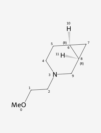 COCCN1CC[C@H]2C[C@H]2C1